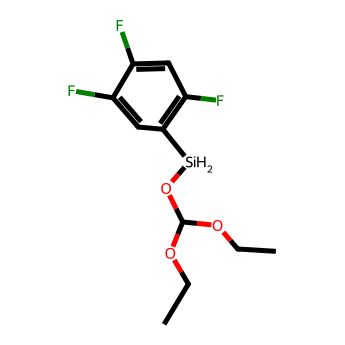 CCOC(OCC)O[SiH2]c1cc(F)c(F)cc1F